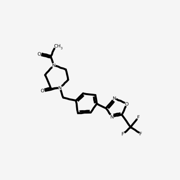 CC(=O)N1CCN(Cc2ccc(-c3noc(C(F)(F)F)n3)cc2)C(=O)C1